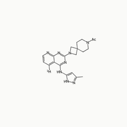 [2H]c1ccnc2nc(N3CC4(CCN(C(C)=O)CC4)C3)nc(Nc3cc(C)n[nH]3)c12